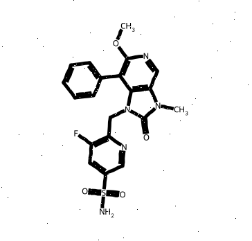 COc1ncc2c(c1-c1ccccc1)n(Cc1ncc(S(N)(=O)=O)cc1F)c(=O)n2C